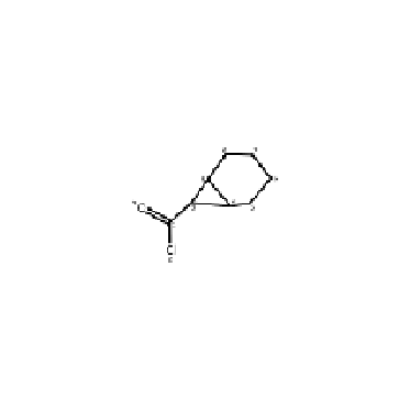 O=C(Cl)C1C2CCCCC21